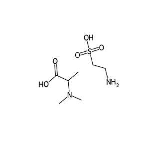 CC(C(=O)O)N(C)C.NCCS(=O)(=O)O